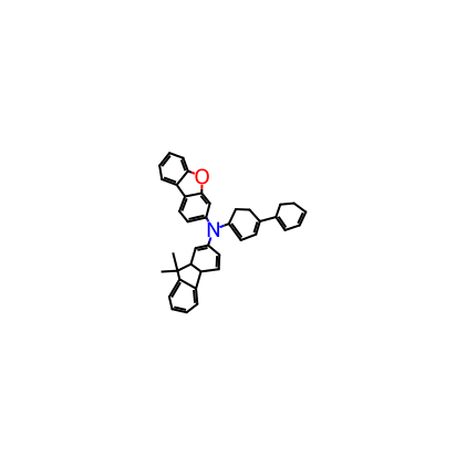 CC1(C)c2ccccc2C2C=CC(N(C3=CC=C(C4=CC=CCC4)CC3)c3ccc4c(c3)oc3ccccc34)=CC21